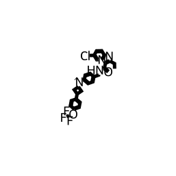 CCc1nc2ccc(Cl)cn2c1C(=O)NCc1ccc(N(C)C2CC(c3ccc(OC(F)(F)F)cc3)C2)cc1